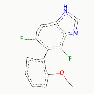 COc1ccccc1-c1c(F)cc2[nH][c]nc2c1F